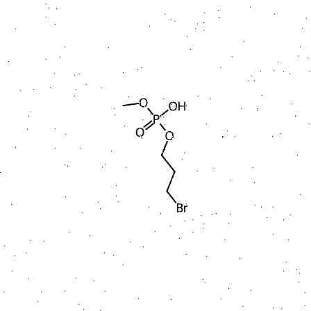 COP(=O)(O)OCCCBr